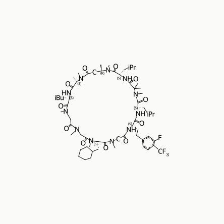 CCC(C)[C@@H]1NC(=O)[C@H](C)N(C)C(=O)C[C@@H](C)N(C)C(=O)[C@H](CC(C)C)NC(=O)C(C)(C)N(C)C(=O)[C@H](CC(C)C)NC(=O)[C@H](CCc2ccc(C(F)(F)F)c(F)c2)NC(=O)CN(C)C(=O)[C@H](CC2CCCCC2)N(C)C(=O)CN(C)C(=O)CN(C)C1=O